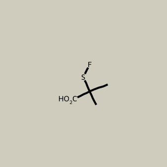 CC(C)(SF)C(=O)O